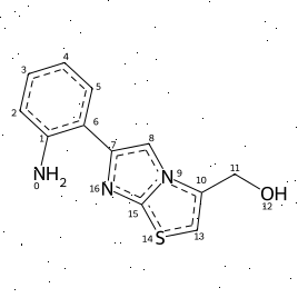 Nc1ccccc1-c1cn2c(CO)csc2n1